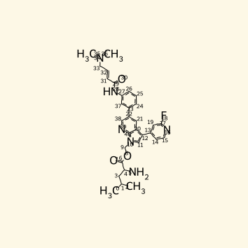 CC(C)CC(N)C(=O)OCn1cc(-c2ccnc(F)c2)c2cc(-c3cccc(NC(=O)C=CCN(C)C)c3)cnc21